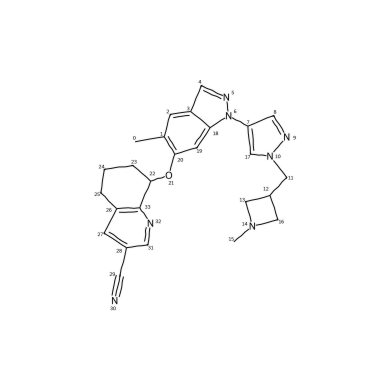 Cc1cc2cnn(-c3cnn(CC4CN(C)C4)c3)c2cc1OC1CCCc2cc(C#N)cnc21